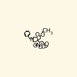 CCOC(=O)CC1(C(CC2OCCO2)[N+](=O)[O-])CCN(Cc2ccccc2)CC1